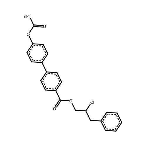 CCCC(=O)Oc1ccc(-c2ccc(C(=O)OCC(Cl)Cc3ccccc3)cc2)cc1